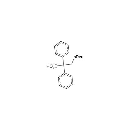 CCCCCCCCCCCC(C(=O)O)(c1ccccc1)c1ccccc1